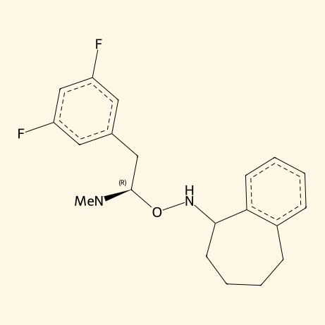 CN[C@@H](Cc1cc(F)cc(F)c1)ONC1CCCCc2ccccc21